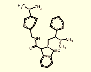 CN(C)c1ccc(CNC(=O)C2c3ccccc3C(=O)N2CC(c2ccccc2)N(C)C)cc1